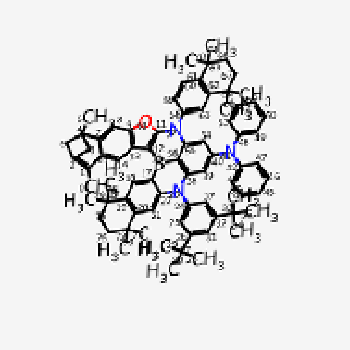 CC1=C2CC(C)(C2)c2cc3oc4c(c3cc21)B1c2cc3c(cc2N(c2cc(C(C)(C)C)cc(C(C)(C)C)c2)c2cc(N(c5ccccc5)c5ccccc5)cc(c21)N4c1ccc2c(c1)C(C)(C)CCC2(C)C)C(C)(C)CCC3(C)C